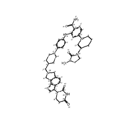 CN1CCN([C@@H]2CCCN(c3cnc(C(N)=O)c(Nc4ccc(N5CCC(CN6Cc7ccc8c(C9CCC(=O)NC9=O)coc8c7C6)CC5)cc4)n3)C2)C1=O